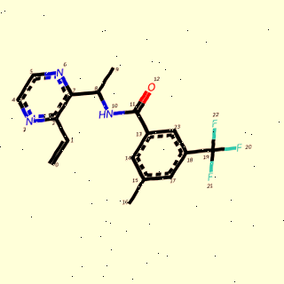 C=Cc1nccnc1C(C)NC(=O)c1cc(C)cc(C(F)(F)F)c1